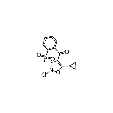 CS(=O)(=O)c1ccccc1C(=O)C1=C(C2CC2)ON(Cl)C1